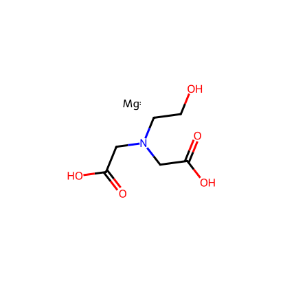 O=C(O)CN(CCO)CC(=O)O.[Mg]